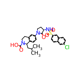 CC(C)CC1c2ccc(N3CC[C@@H](NS(=O)(=O)c4ccc5cc(Cl)ccc5c4)C3=O)cc2CCN1C(=O)O